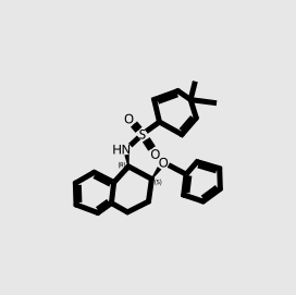 CC1(C)C=CC(S(=O)(=O)N[C@@H]2c3ccccc3CC[C@@H]2Oc2ccccc2)C=C1